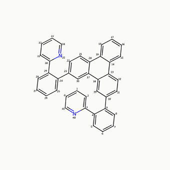 c1ccc(-c2ccccc2-c2ccc3c4ccccc4c4ccc(-c5ccccc5-c5ccccn5)cc4c3c2)nc1